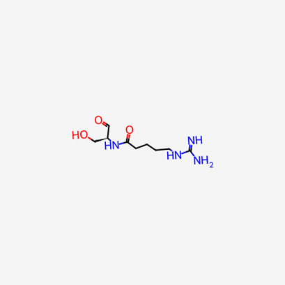 N=C(N)NCCCCC(=O)N[C@H](C=O)CO